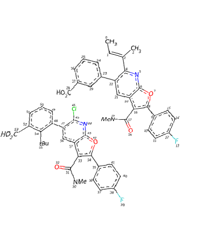 CC=C(C)c1nc2oc(-c3ccc(F)cc3)c(C(=O)NC)c2cc1-c1cccc(C(=O)O)c1.CNC(=O)c1c(-c2ccc(F)cc2)oc2nc(Cl)c(-c3cccc(C(=O)O)c3C(C)(C)C)cc12